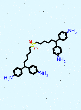 Nc1ccc(C(CCCCCS(=O)(=O)CCCCCC(c2ccc(N)cc2)c2ccc(N)cc2)c2ccc(N)cc2)cc1